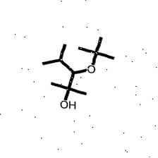 CC(C)C(OC(C)(C)C)C(C)(C)O